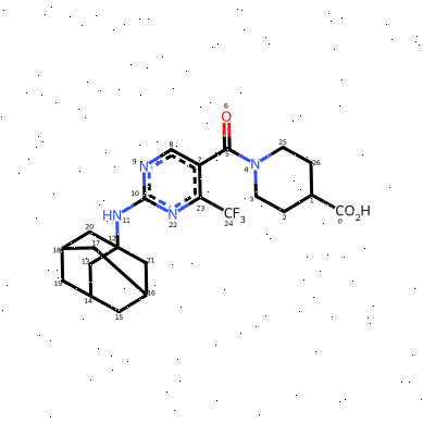 O=C(O)C1CCN(C(=O)c2cnc(NC34CC5CC(CC(C5)C3)C4)nc2C(F)(F)F)CC1